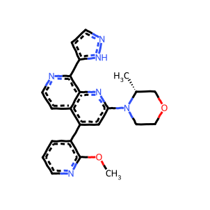 COc1ncccc1-c1cc(N2CCOC[C@H]2C)nc2c(-c3ccn[nH]3)nccc12